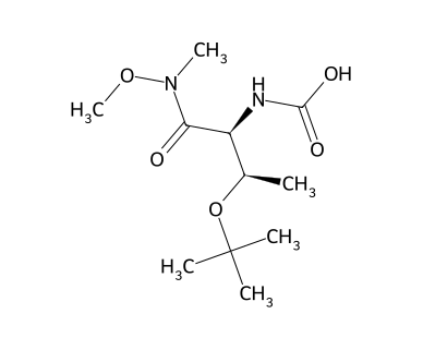 CON(C)C(=O)[C@@H](NC(=O)O)[C@@H](C)OC(C)(C)C